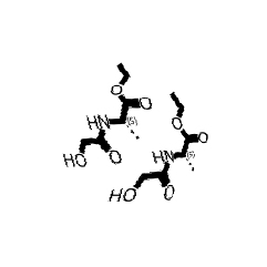 CCOC(=O)[C@H](C)NC(=O)CO.CCOC(=O)[C@H](C)NC(=O)CO